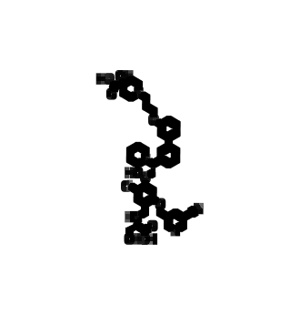 N#Cc1cncc(COc2cc(OC[C@@H](c3cccc(-c4cccc(OCCCN5CCC(O)(C(=O)O)CC5)c4)c3)N3CCCC[C@H]3O)c(Cl)cc2CN[C@H](CO)C(=O)O)c1